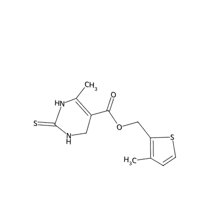 CC1=C(C(=O)OCc2sccc2C)CNC(=S)N1